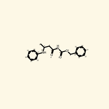 CC(CC(=O)NC(=O)OCc1ccccc1)Nc1ccccc1